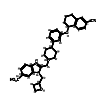 N#Cc1ccc2c(c1)CCC[C@@H]2Oc1cccc(C2CCN(Cc3nc4ccc(C(=O)O)cc4n3CC3CCO3)CC2)n1